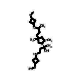 CC(C)OC1CC(NCCC(C)(O)[C@@H]2CC(C)(CCC(C)OC3CC(OI)C3)C[C@@H]2C)C1